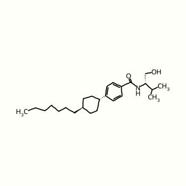 CCCCCCC[C@H]1CC[C@H](c2ccc(C(=O)N[C@H](CO)C(C)C)cc2)CC1